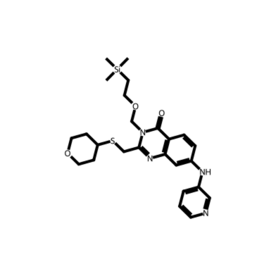 C[Si](C)(C)CCOCn1c(CSC2CCOCC2)nc2cc(Nc3cccnc3)ccc2c1=O